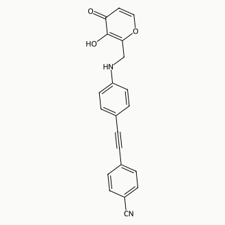 N#Cc1ccc(C#Cc2ccc(NCc3occc(=O)c3O)cc2)cc1